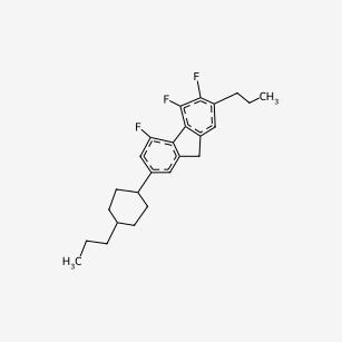 CCCc1cc2c(c(F)c1F)-c1c(F)cc(C3CCC(CCC)CC3)cc1C2